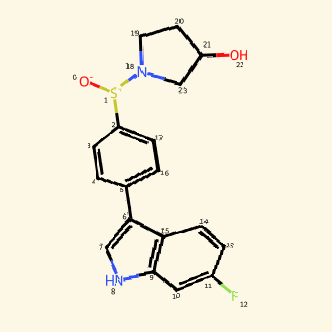 [O-][S+](c1ccc(-c2c[nH]c3cc(F)ccc23)cc1)N1CCC(O)C1